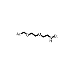 CCNCCOCCOCC(C)=O